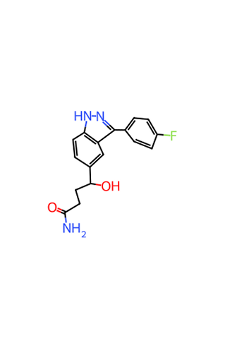 NC(=O)CCC(O)c1ccc2[nH]nc(-c3ccc(F)cc3)c2c1